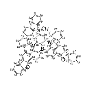 C[Si](c1ccccc1)(c1ccccc1)c1cc2c3c(c1)N(c1ccccc1)c1c(ccc4c1ccc1c5ccccc5oc41)B3c1ccc3c(ccc4c5ccccc5oc34)c1N2c1ccccc1